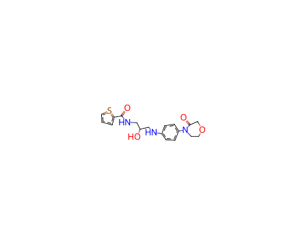 O=C(NCC(O)CNc1ccc(N2CCOCC2=O)cc1)c1cccs1